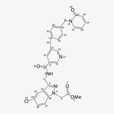 COC(=O)Cn1nc(CNC(=O)c2cncc(Cc3ccc(Cn4ccccc4=O)cc3)c2)c2cc(Cl)ccc21